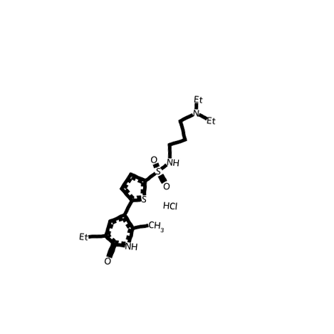 CCc1cc(-c2ccc(S(=O)(=O)NCCCN(CC)CC)s2)c(C)[nH]c1=O.Cl